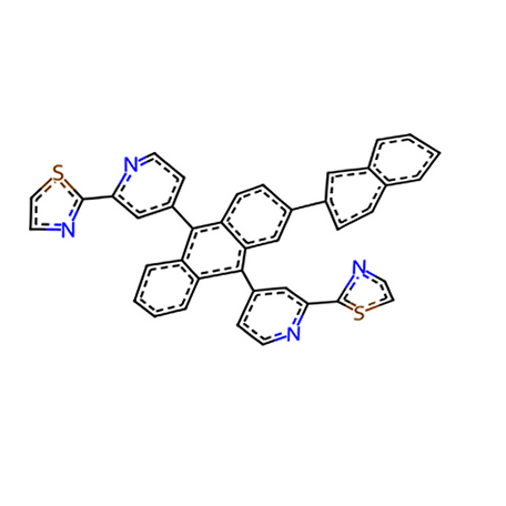 c1ccc2cc(-c3ccc4c(-c5ccnc(-c6nccs6)c5)c5ccccc5c(-c5ccnc(-c6nccs6)c5)c4c3)ccc2c1